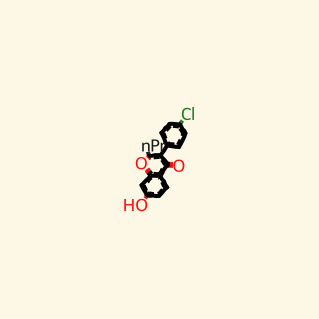 CCCc1oc2cc(O)ccc2c(=O)c1-c1ccc(Cl)cc1